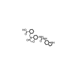 O=C(Nc1ccc2c(c1)OCC(=O)N2Cc1ccccc1C(=O)O)Nc1ccc2cc[nH]c2c1